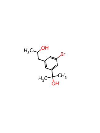 CC(O)Cc1cc(Br)cc(C(C)(C)O)c1